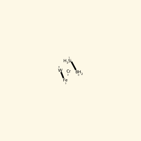 B[SiH3].[Cr].[Fe][W]